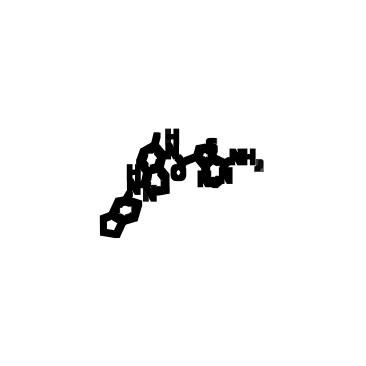 Cc1ccc2c(Nc3ccc4c(c3)CCC4)nccc2c1NC(=O)c1csc2c(N)ncnc12